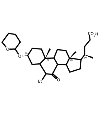 CCC1C(=O)C2C(CC[C@@]3(C)C2CCC3[C@H](C)CCC(=O)O)[C@@]2(C)CC[C@@H](OC3CCCCO3)CC12